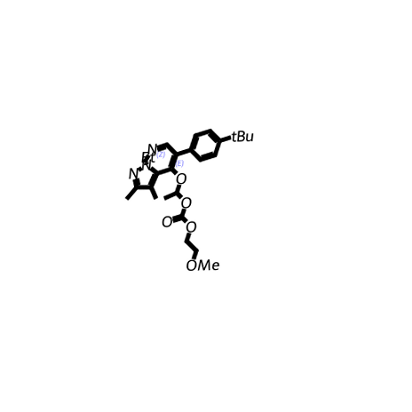 CCn1nc(C)c(C)c1/C(OC(C)OC(=O)OCCOC)=C(\C=N/C)c1ccc(C(C)(C)C)cc1